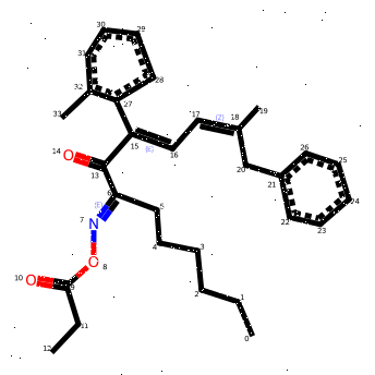 CCCCCC/C(=N\OC(=O)CC)C(=O)/C(=C/C=C(/C)Cc1ccccc1)c1ccccc1C